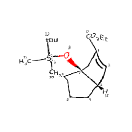 CCOC(=O)C1=C[C@@H]2CCC[C@]12O[Si](C)(C)C(C)(C)C